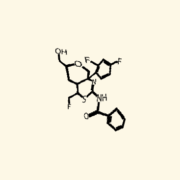 O=C(NC1=NC2(c3ccc(F)cc3F)COC(CO)CC2C(CF)S1)c1ccccc1